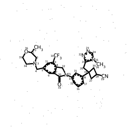 CC1CN(Cc2cc3c(c(C(F)(F)F)c2)CN(c2cccc(C4(Cc5nncn5C)CC(C#N)C4)c2)C3=O)CCO1